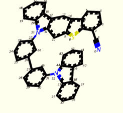 N#Cc1cccc2c1sc1cc3c(cc12)c1ccccc1n3-c1cccc(-c2cccc(-n3c4ccccc4c4ccccc43)c2)c1